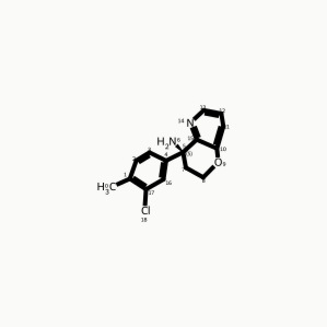 Cc1ccc([C@@]2(N)CCOc3cccnc32)cc1Cl